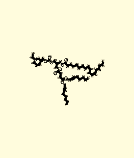 CCCCCC#CCOC(CCC(=O)OCC(COC(=O)CCCCCCC/C=C\C/C=C\CCCCC)COC(=O)OCC1CCCN(CC)C1)OCC#CCCCCC